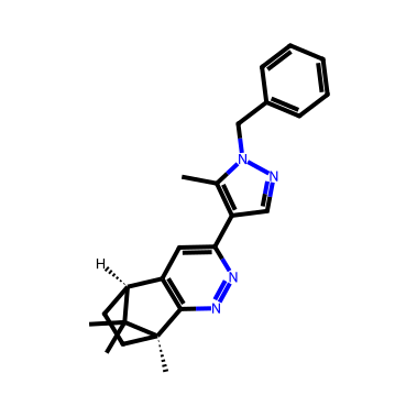 Cc1c(-c2cc3c(nn2)[C@@]2(C)CC[C@@H]3C2(C)C)cnn1Cc1ccccc1